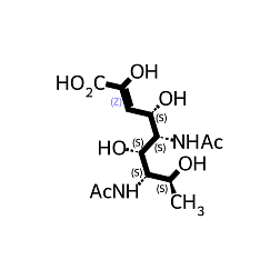 CC(=O)N[C@H]([C@H](O)[C@@H](NC(C)=O)[C@@H](O)/C=C(\O)C(=O)O)[C@H](C)O